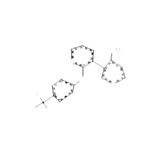 COc1ccncc1-c1cccnc1Oc1ccc(C(C)(F)F)cc1